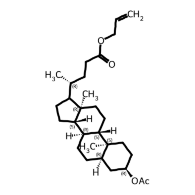 C=CCOC(=O)CC[C@@H](C)C1CC[C@H]2[C@@H]3CC[C@@H]4C[C@H](OC(C)=O)CC[C@]4(C)[C@H]3CC[C@]12C